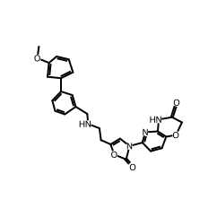 COc1cccc(-c2cccc(CNCCc3cn(-c4ccc5c(n4)NC(=O)CO5)c(=O)o3)c2)c1